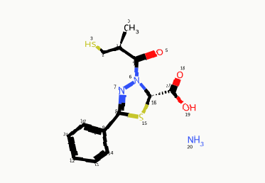 C[C@H](CS)C(=O)N1N=C(c2ccccc2)S[C@H]1C(=O)O.N